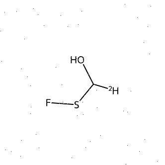 [2H]C(O)SF